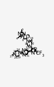 Cc1nc(C)n(CC(=O)N2CCN(c3sc(C(F)(F)F)nc3-c3cnc(N4CCN(C)CC4)nc3)CC2C)n1